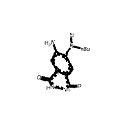 CCCCN(CC)c1cc2c(=O)[nH][nH]c(=O)c2cc1N